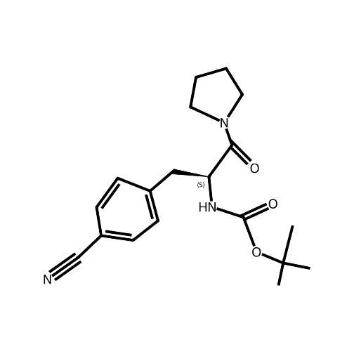 CC(C)(C)OC(=O)N[C@@H](Cc1ccc(C#N)cc1)C(=O)N1CCCC1